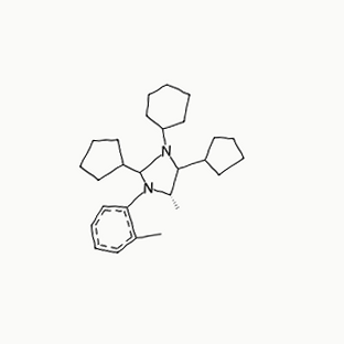 Cc1ccccc1N1C(C2CCCC2)N(C2CCCCC2)C(C2CCCC2)[C@@H]1C